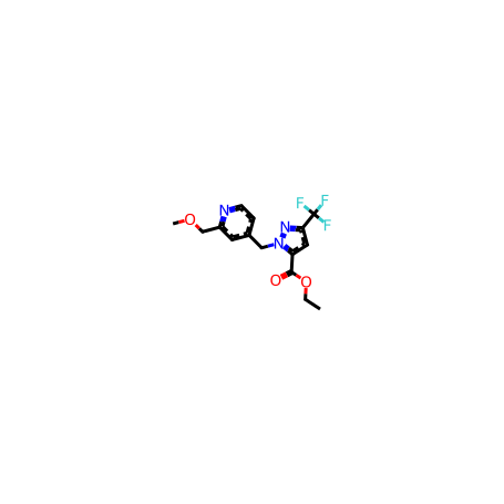 CCOC(=O)c1cc(C(F)(F)F)nn1Cc1ccnc(COC)c1